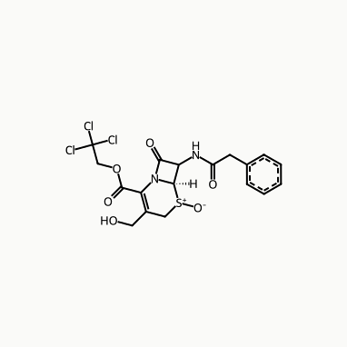 O=C(Cc1ccccc1)NC1C(=O)N2C(C(=O)OCC(Cl)(Cl)Cl)=C(CO)C[S+]([O-])[C@H]12